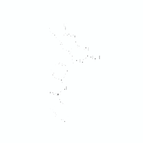 CNc1nc(-c2cccc(NC(=O)c3ccncc3)c2)c2cc(OC)c(OC)cc2n1